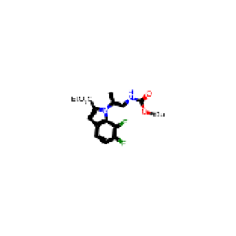 CCOC(=O)c1cc2ccc(F)c(F)c2n1C(C)CNC(=O)OC(C)(C)C